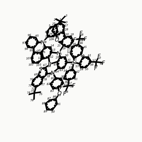 CC(C)(C)c1ccc(N(c2ccc3c(c2)N(c2cccc4c2oc2ccccc24)c2cc([Si](c4ccc(C(F)(F)F)cc4)(c4ccc(C(F)(F)F)cc4)c4ccc(C(F)(F)F)cc4)cc4c2B3c2sc3ccc(C(C)(C)C)cc3c2N4c2ccc(Oc3ccccc3)cc2)c2ccccc2-c2ccccc2)cc1